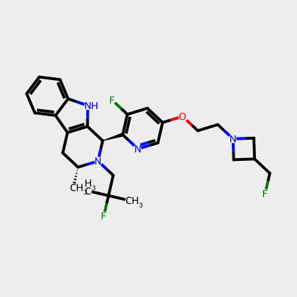 C[C@@H]1Cc2c([nH]c3ccccc23)[C@@H](c2ncc(OCCN3CC(CF)C3)cc2F)N1CC(C)(C)F